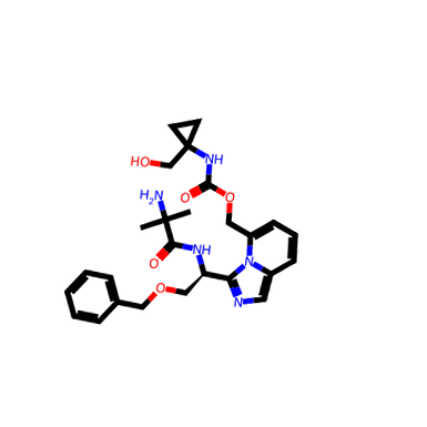 CC(C)(N)C(=O)N[C@H](COCc1ccccc1)c1ncc2cccc(COC(=O)NC3(CO)CC3)n12